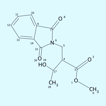 COC(=O)C(CN1C(=O)c2ccccc2C1=O)C(C)O